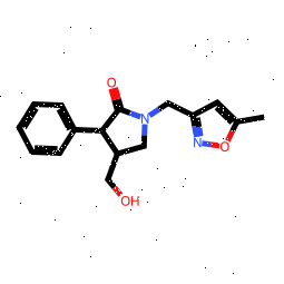 Cc1cc(CN2CC(CO)C(c3ccccc3)C2=O)no1